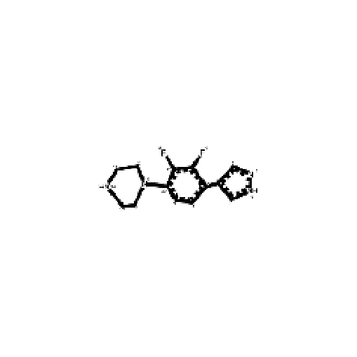 Fc1c(-c2cn[nH]c2)ccc(N2CCNCC2)c1F